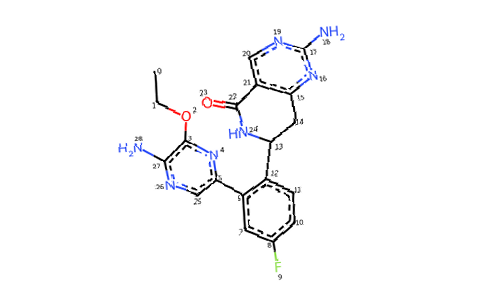 CCOc1nc(-c2cc(F)ccc2C2Cc3nc(N)ncc3C(=O)N2)cnc1N